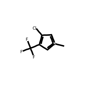 CI1=CC(Cl)=C(C(F)(F)F)C=1